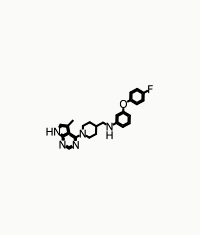 Cc1c[nH]c2ncnc(N3CCC(CNc4cccc(Oc5ccc(F)cc5)c4)CC3)c12